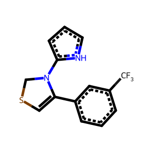 FC(F)(F)c1cccc(C2=CSCN2c2ccc[nH]2)c1